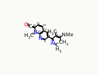 C/N=C(\C(C)=C(/C)NC)c1cnc2c(c1)C=CC(=C=O)N2C